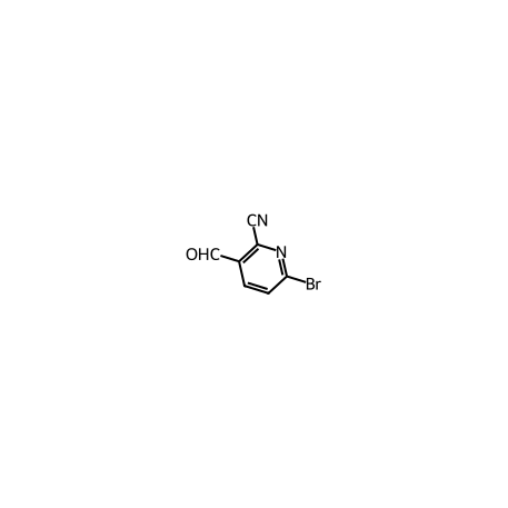 N#Cc1nc(Br)ccc1C=O